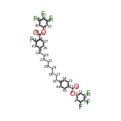 O=C(Oc1cc(F)c(F)c(F)c1)c1ccc(CCCCCCCCCc2ccc(C(=O)Oc3cc(F)c(F)c(F)c3)c(F)c2)cc1